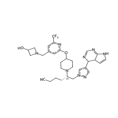 N#CCCC[C@@H](Cn1cc(C2N=CN=C3NC=CC32)cn1)N1CCC(Oc2cc(CN3CC(O)C3)cc(C(F)(F)F)n2)CC1